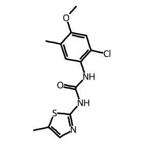 COc1cc(Cl)c(NC(=O)Nc2ncc(C)s2)cc1C